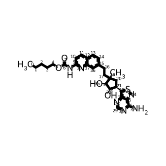 CCCCCOC(=O)Nc1ccc2ccc(CC[C@@]3(C)C[C@@H](c4snc5c(N)ncnc45)[C@H](O)[C@@H]3O)cc2n1